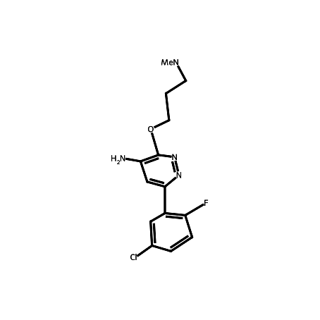 CNCCCOc1nnc(-c2cc(Cl)ccc2F)cc1N